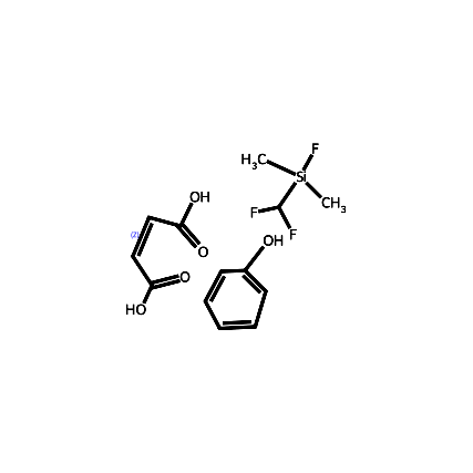 C[Si](C)(F)C(F)F.O=C(O)/C=C\C(=O)O.Oc1ccccc1